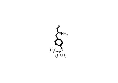 CP(C)(=O)Oc1ccc(CC(N)CF)cc1